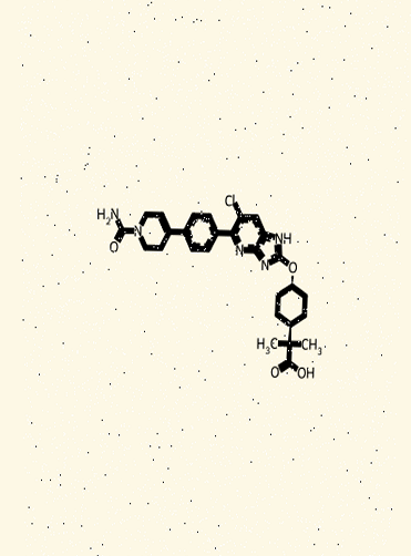 CC(C)(C(=O)O)[C@H]1CC[C@H](Oc2nc3nc(-c4ccc(C5=CCN(C(N)=O)CC5)cc4)c(Cl)cc3[nH]2)CC1